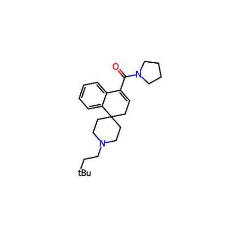 CC(C)(C)CCN1CCC2(CC=C(C(=O)N3CCCC3)c3ccccc32)CC1